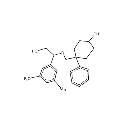 OCC(OCC1(c2ccccc2)CCC(O)CC1)c1cc(C(F)(F)F)cc(C(F)(F)F)c1